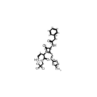 C/C=C\C(C(=O)OCC(Cl)(Cl)Cl)N1C(=O)C(NC(=O)Cc2ccccc2)C1SSc1nnc(C)s1